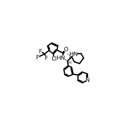 C[C@@]1([C@@H](NC(=O)c2cccc(C(F)(F)F)c2Cl)c2cccc(-c3ccncc3)c2)CCCCN1